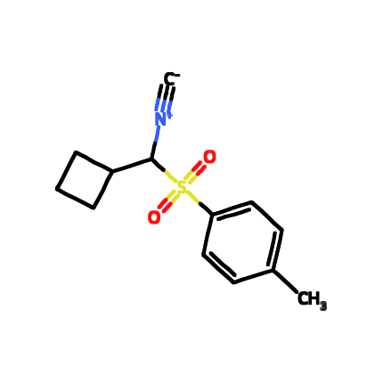 [C-]#[N+]C(C1CCC1)S(=O)(=O)c1ccc(C)cc1